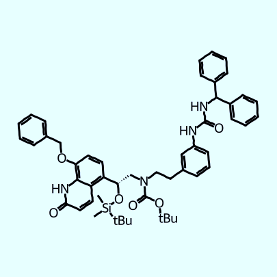 CC(C)(C)OC(=O)N(CCc1cccc(NC(=O)NC(c2ccccc2)c2ccccc2)c1)C[C@H](O[Si](C)(C)C(C)(C)C)c1ccc(OCc2ccccc2)c2[nH]c(=O)ccc12